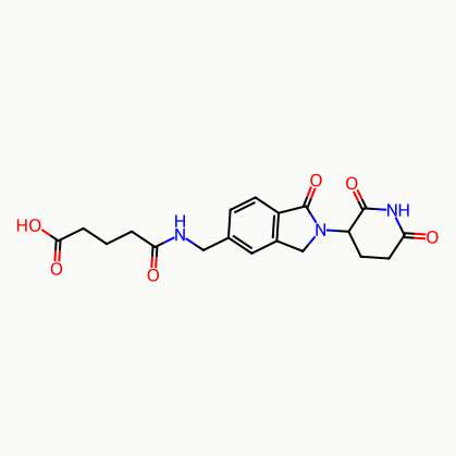 O=C(O)CCCC(=O)NCc1ccc2c(c1)CN(C1CCC(=O)NC1=O)C2=O